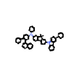 CC1(C)c2cc(N(c3ccccc3)c3ccc(-c4ccccc4)c(-c4cccc5ccccc45)c3)ccc2-c2ccc(-n3c4ccccc4c4cc(-c5ccccc5)ccc43)cc21